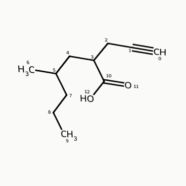 C#CCC(CC(C)CCC)C(=O)O